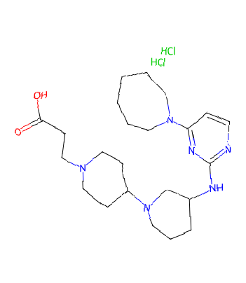 Cl.Cl.O=C(O)CCN1CCC(N2CCCC(Nc3nccc(N4CCCCCC4)n3)C2)CC1